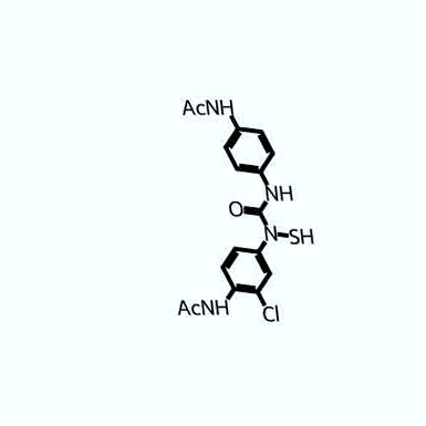 CC(=O)Nc1ccc(NC(=O)N(S)c2ccc(NC(C)=O)c(Cl)c2)cc1